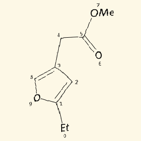 CCc1cc(CC(=O)OC)co1